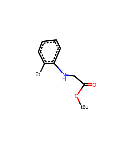 CCc1ccccc1NCC(=O)OC(C)(C)C